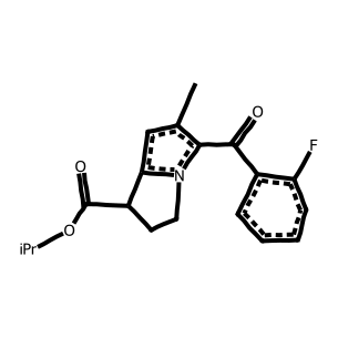 Cc1cc2n(c1C(=O)c1ccccc1F)CCC2C(=O)OC(C)C